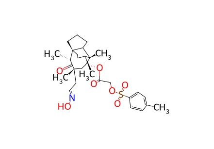 Cc1ccc(S(=O)(=O)OCC(=O)O[C@@H]2C[C@](C)(C/C=N/O)C(=O)[C@H](C)[C@]34CCCC3[C@@]2(C)[C@H](C)CC4)cc1